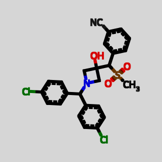 CS(=O)(=O)C(c1cccc(C#N)c1)C1(O)CN(C(c2ccc(Cl)cc2)c2ccc(Cl)cc2)C1